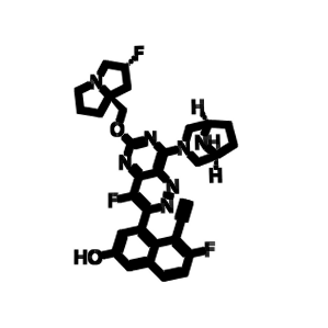 C#Cc1c(F)ccc2cc(O)cc(-c3nnc4c(N5C[C@H]6CC[C@@H](C5)N6)nc(OC[C@@]56CCCN5C[C@H](F)C6)nc4c3F)c12